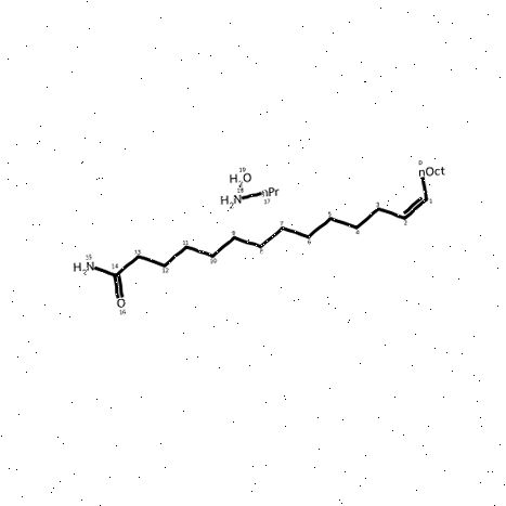 CCCCCCCC/C=C\CCCCCCCCCCCC(N)=O.CCCN.O